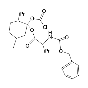 CC1CCC(C(C)C)C(OC(=O)Cl)(OC(=O)C(NC(=O)OCc2ccccc2)C(C)C)C1